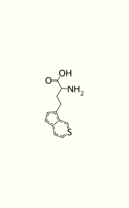 NC(CCc1ccc2ccscc1-2)C(=O)O